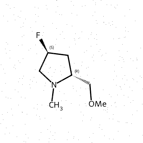 COC[C@H]1C[C@H](F)CN1C